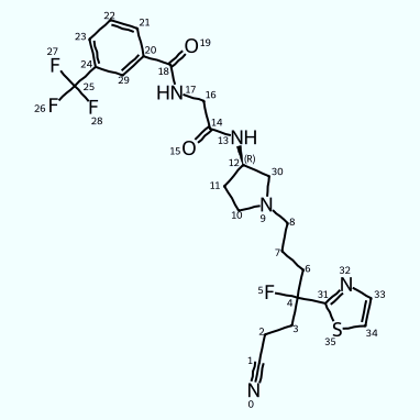 N#CCCC(F)(CCCN1CC[C@@H](NC(=O)CNC(=O)c2cccc(C(F)(F)F)c2)C1)c1nccs1